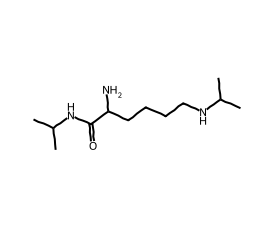 CC(C)NCCCCC(N)C(=O)NC(C)C